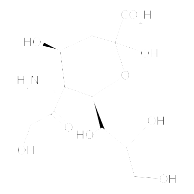 N[C@]1(C(=O)CO)[C@@H](O)CC(O)(C(=O)O)O[C@H]1C(O)C(O)CO